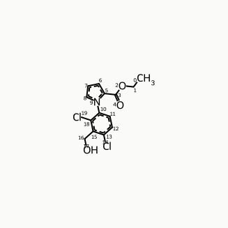 CCOC(=O)c1cccn1-c1ccc(Cl)c(CO)c1Cl